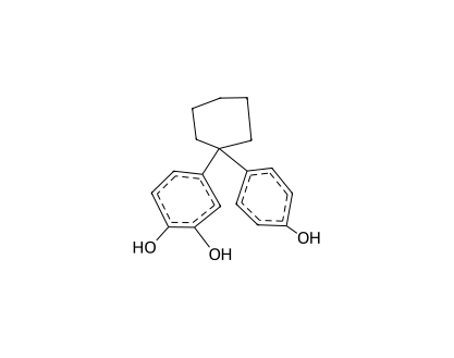 Oc1ccc(C2(c3ccc(O)c(O)c3)CCCCC2)cc1